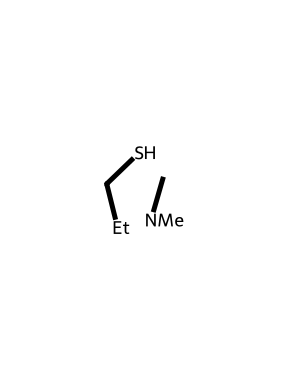 CCCS.CNC